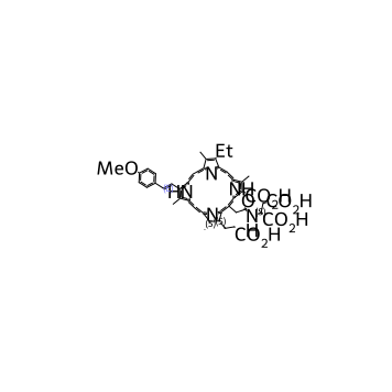 CCC1=C(C)c2cc3[nH]c(cc4nc(c(CC(=O)N[C@@H](CC(=O)O)C(=O)O)c5[nH]c(cc1n2)c(C)c5C(=O)O)[C@@H](CCC(=O)O)[C@@H]4C)c(C)c3/C=C/c1ccc(OC)cc1